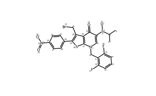 CC(C)[S+]([O-])c1cn(Cc2c(F)cccc2F)c2sc(-c3ccc([N+](=O)[O-])cc3)c(CBr)c2c1=O